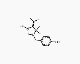 CC(C)=C1N(C(C)C)CN(Cc2ccc(O)cc2)C1(C)C